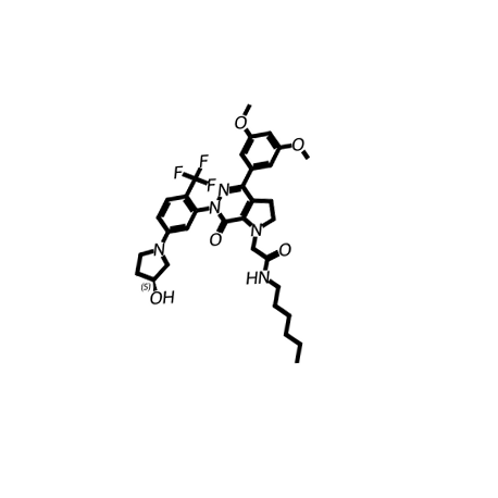 CCCCCCNC(=O)CN1CCc2c(-c3cc(OC)cc(OC)c3)nn(-c3cc(N4CC[C@H](O)C4)ccc3C(F)(F)F)c(=O)c21